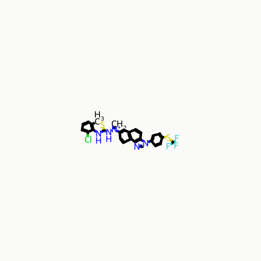 C=[N+](NC(=S)Nc1c(C)cccc1Cl)c1ccc2c(ccc3c2ncn3-c2ccc(SC(F)(F)F)cc2)c1